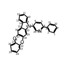 c1ccc(-c2ccc(-n3c4ccccc4c4cc5c(cc43)Oc3ccccc3O5)cn2)cc1